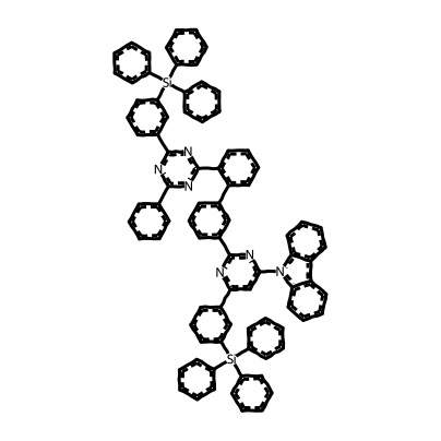 c1ccc(-c2nc(-c3cccc([Si](c4ccccc4)(c4ccccc4)c4ccccc4)c3)nc(-c3ccccc3-c3cccc(-c4nc(-c5cccc([Si](c6ccccc6)(c6ccccc6)c6ccccc6)c5)cc(-n5c6ccccc6c6ccccc65)n4)c3)n2)cc1